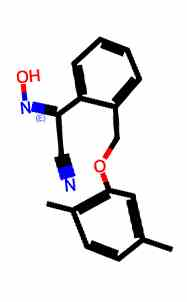 Cc1ccc(C)c(OCc2ccccc2/C(C#N)=N\O)c1